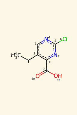 CCc1cnc(Cl)nc1C(=O)O